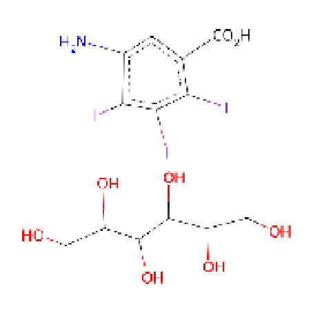 Nc1cc(C(=O)O)c(I)c(I)c1I.OCC(O)C(O)C(O)C(O)CO